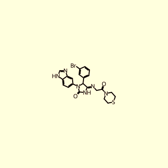 O=C(CN=C1NC(=O)N(c2ccc3[nH]cnc3c2)C1c1cccc(Br)c1)N1CCSCC1